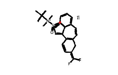 CC(C)(C)[N+](C)(C)[Si](=O)C1C=CC=C2C=CC3=C(C=CC(=C(F)F)C3)C3=CC=CC231.[Ti]